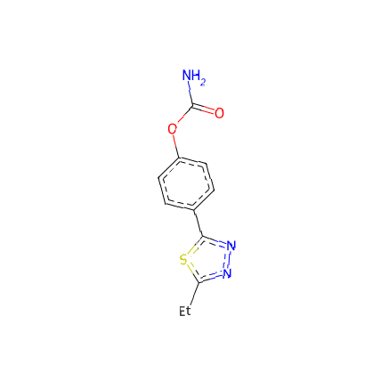 CCc1nnc(-c2ccc(OC(N)=O)cc2)s1